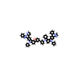 c1ccc(-n2c3cc4c(cc3c3c5oc6ccc(-c7cccc(-n8c9ccccc9c9c%10c%11cc%12c%13ccccc%13n%13ccnc%13c%12cc%11n(-c%11ccccc%11)c%10ccc98)c7)cc6c5ccc32)c2cccnc2n2c3ccccc3nc42)cc1